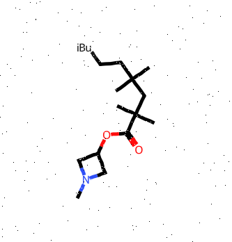 CCC(C)CCC(C)(C)CC(C)(C)C(=O)OC1CN(C)C1